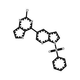 O=S(=O)(c1ccccc1)n1ccc2cc(-c3nc(Cl)nc4ccsc34)cnc21